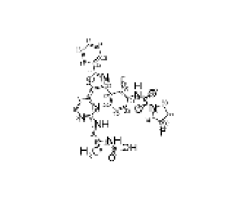 C[C@@H](CNc1nccc(-c2sc(-c3ccccc3)nc2-c2cccc(NS(=O)(=O)N3CC[C@H](F)C3)c2F)n1)NC(=O)O